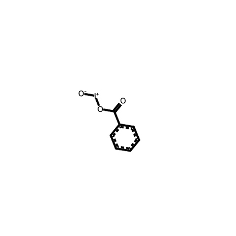 O=C(O[I+][O-])c1ccccc1